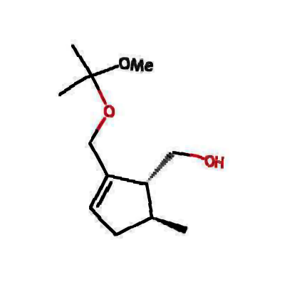 COC(C)(C)OCC1=CC[C@H](C)[C@H]1CO